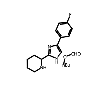 CCCCOC=O.Fc1ccc(-c2c[nH]c(C3CCCCN3)n2)cc1